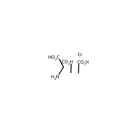 CC(=O)O.CC(=O)O.NCC(=O)O.[Cr]